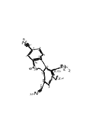 N#Cc1ccc2c(c1)sc1c(C#N)cnc(N)c12